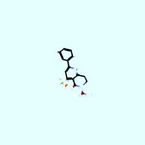 CS(=O)(=O)c1cc(-c2cccc(Br)c2)nc2c1C(=O)N(C(=O)O)CC2